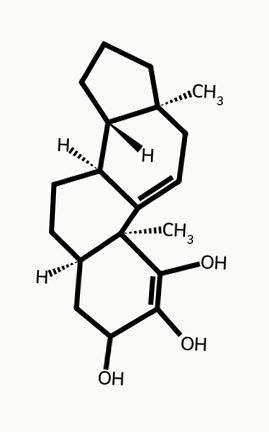 C[C@]12CC=C3[C@@H](CC[C@@H]4CC(O)C(O)=C(O)[C@]34C)[C@@H]1CCC2